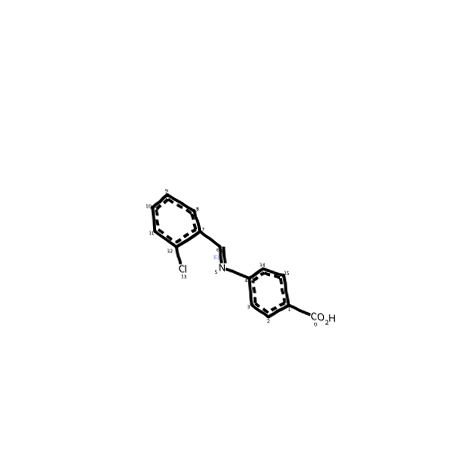 O=C(O)c1ccc(/N=C/c2ccccc2Cl)cc1